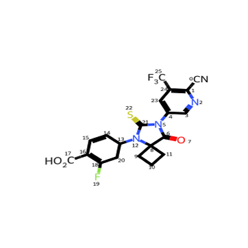 N#Cc1ncc(N2C(=O)C3(CCC3)N(C3C=CC(C(=O)O)=C(F)C3)C2=S)cc1C(F)(F)F